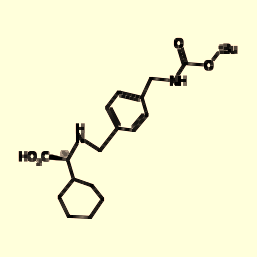 CC(C)(C)OC(=O)NCc1ccc(CN[C@H](C(=O)O)C2CCCCC2)cc1